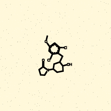 COc1cc(Cl)c(CC2CC(N3CCCC3=O)CCC2O)c(Cl)c1